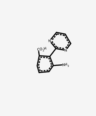 Nc1cccc(C(=O)O)c1-c1ncccn1